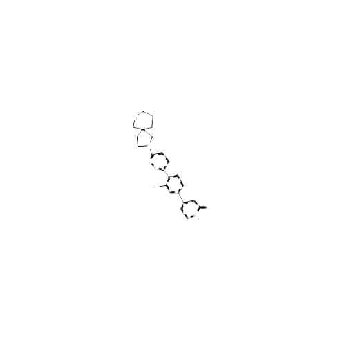 Cn1ccc(-c2ccc(-c3ccc(N4CCC5(CCCNC5)C4)nn3)c(O)c2)cc1=O